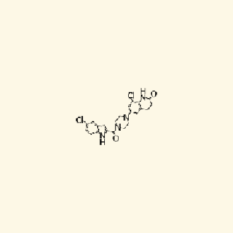 O=C1CCc2cc(N3CCN(C(=O)c4cc5cc(Cl)ccc5[nH]4)CC3)cc(Cl)c2N1